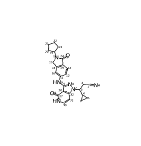 N#CCC(C1CC1)n1nc(Nc2ccc3c(c2)CN(C2CCCC2)C3=O)c2c(=O)[nH]ccc21